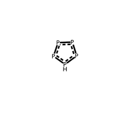 p1pp[pH]p1